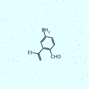 Bc1ccc(C=O)c(C(=C)CC)c1